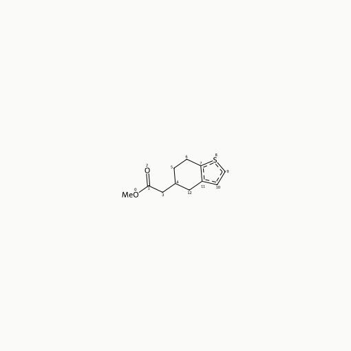 COC(=O)CC1CCc2sccc2C1